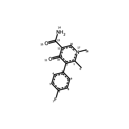 Cc1c(-c2ccc(F)cc2)c(=O)c(C(N)=O)cn1C